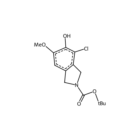 COc1cc2c(c(Cl)c1O)CN(C(=O)OC(C)(C)C)C2